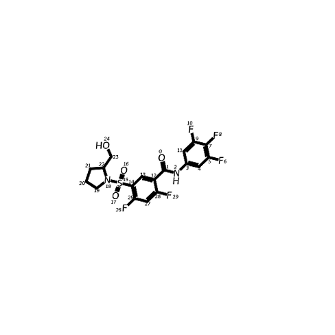 O=C(Nc1cc(F)c(F)c(F)c1)c1cc(S(=O)(=O)N2CCCC2CO)c(F)cc1F